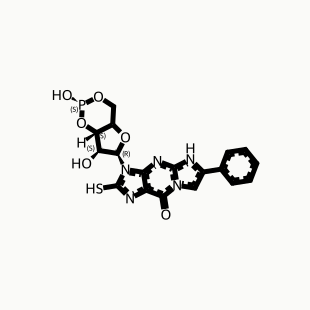 O=c1c2nc(S)n([C@@H]3OC4CO[P@@](O)O[C@H]4[C@@H]3O)c2nc2[nH]c(-c3ccccc3)cn12